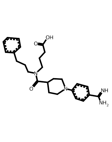 N=C(N)c1ccc(N2CCC(C(=O)N(CCCC(=O)O)CCCc3ccccc3)CC2)cc1